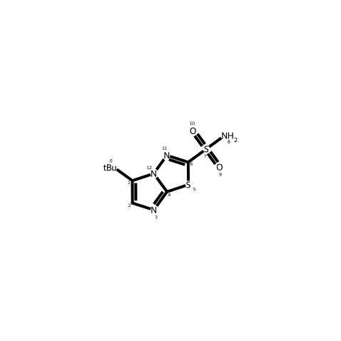 CC(C)(C)c1cnc2sc(S(N)(=O)=O)nn12